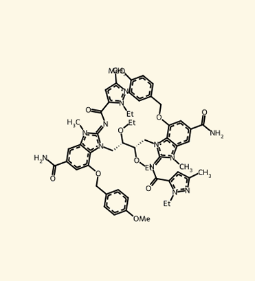 CCO[C@@H](Cn1/c(=N/C(=O)c2cc(C)nn2CC)n(C)c2cc(C(N)=O)cc(OCc3ccc(OC)cc3)c21)[C@H](Cn1/c(=N/C(=O)c2cc(C)nn2CC)n(C)c2cc(C(N)=O)cc(OCc3ccc(OC)cc3)c21)OCC